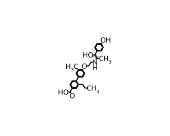 CCCc1cc(C(=O)O)ccc1-c1ccc(OCCN[C@H](C)[C@H](O)c2ccc(O)cc2)c(C)c1